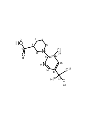 O=C(O)C1CCCN(c2ncc(C(F)(F)F)cc2Cl)C1